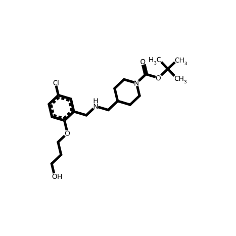 CC(C)(C)OC(=O)N1CCC(CNCc2cc(Cl)ccc2OCCCO)CC1